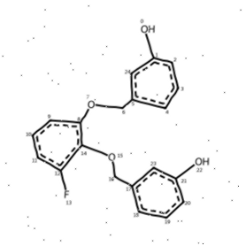 Oc1cccc(COc2cccc(F)c2OCc2cccc(O)c2)c1